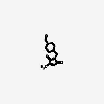 CC1=CC(=O)N(CC2CCC(C=O)CC2)C1=O